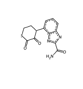 NC(=O)c1nc2cccc(C3CCSC(=O)C3=O)n2n1